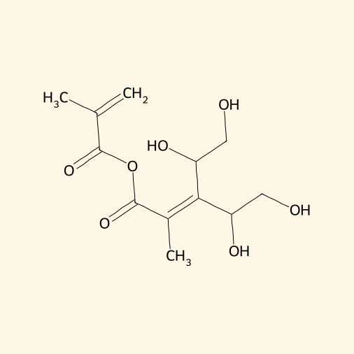 C=C(C)C(=O)OC(=O)C(C)=C(C(O)CO)C(O)CO